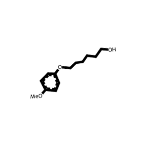 COc1ccc(OCCCCCCO)cc1